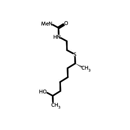 CNC(=O)NCCS[C@H](C)CCCCC(C)O